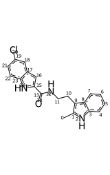 Cc1[nH]c2ccccc2c1CCNC(=O)c1cc2cc(Cl)ccc2[nH]1